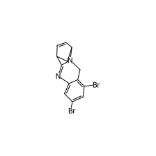 Brc1cc(Br)c2c(c1)N=C1C3C=CC(C3)N1C2